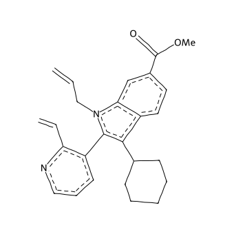 C=CCn1c(-c2cccnc2C=C)c(C2CCCCC2)c2ccc(C(=O)OC)cc21